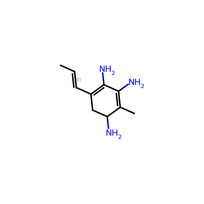 C/C=C/C1=C(N)C(N)=C(C)C(N)C1